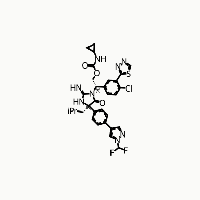 CC(C)C[C@]1(c2ccc(-c3cnn(C(F)F)c3)cc2)NC(=N)N([C@H](COC(=O)NC2CC2)c2ccc(Cl)c(-c3nncs3)c2)C1=O